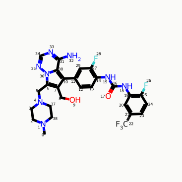 CN1CCN(Cc2c(CO)c(-c3ccc(NC(=O)Nc4cc(C(F)(F)F)ccc4F)c(F)c3)c3c(N)ncnn23)CC1